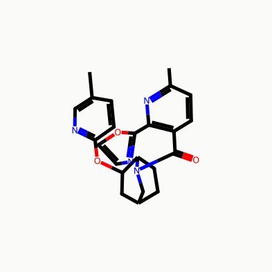 Cc1ccc(OC2CC3CCC2N(C(=O)c2ccc(C)nc2-c2ncco2)C3)nc1